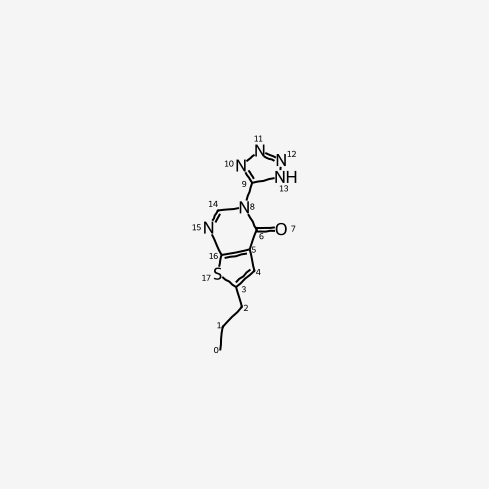 CCCc1cc2c(=O)n(-c3nnn[nH]3)cnc2s1